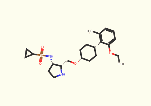 Cc1cccc(OCC=O)c1[C@H]1CC[C@@H](OC[C@@H]2NCC[C@@H]2NS(=O)(=O)C2CC2)CC1